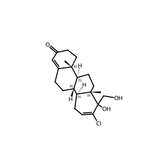 C[C@]12CCC(=O)C=C1CC[C@@H]1[C@@H]2CC[C@@]2(C)[C@H]1CC=C(Cl)C2(O)CO